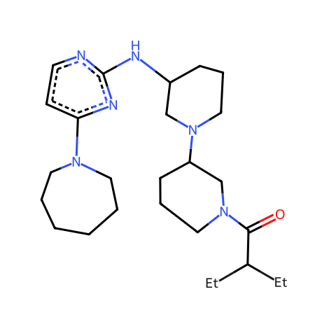 CCC(CC)C(=O)N1CCCC(N2CCCC(Nc3nccc(N4CCCCCC4)n3)C2)C1